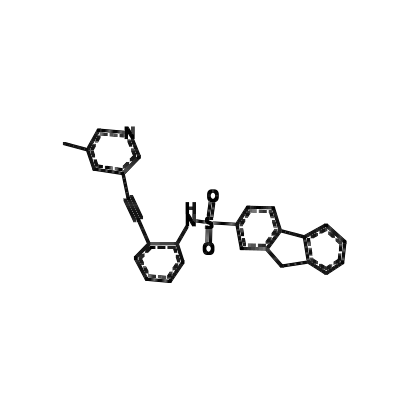 Cc1cncc(C#Cc2ccccc2NS(=O)(=O)c2ccc3c(c2)Cc2ccccc2-3)c1